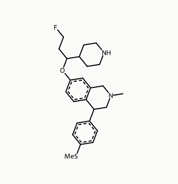 CSc1ccc(C2CN(C)Cc3cc(OC(CCF)C4CCNCC4)ccc32)cc1